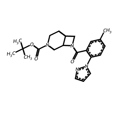 Cc1ccc(-n2cccn2)c(C(=O)N2CC3CCN(C(=O)OC(C)(C)C)CC32)c1